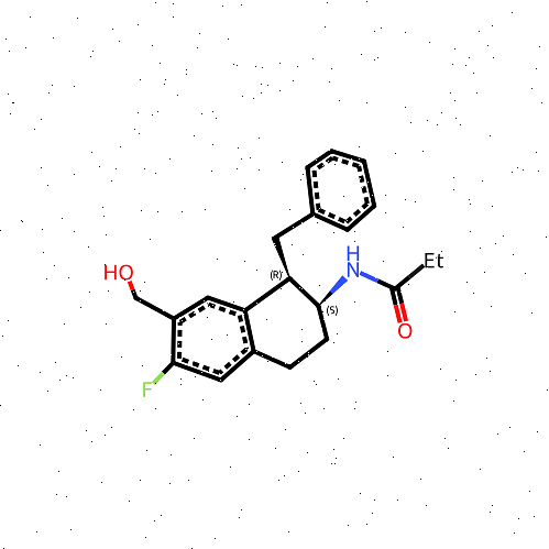 CCC(=O)N[C@H]1CCc2cc(F)c(CO)cc2[C@H]1Cc1ccccc1